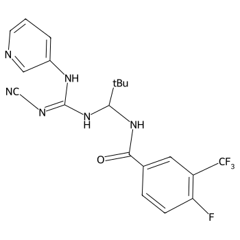 CC(C)(C)C(NC(=O)c1ccc(F)c(C(F)(F)F)c1)N/C(=N/C#N)Nc1cccnc1